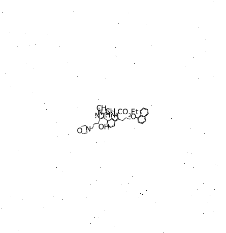 CCOC(=O)c1[nH]c2c(-c3c(C(O)CCN4CCOCC4)nn(C)c3C)cccc2c1CCCOc1cccc2ccccc12